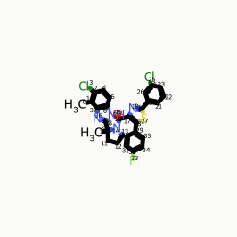 Cc1c(Cl)ccc2[nH]c(C3(C)CCCN3C(=O)c3nc(-c4cccc(Cl)c4)sc3-c3ccc(F)cc3)nc12